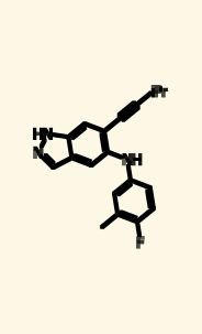 Cc1cc(Nc2cc3cn[nH]c3cc2C#CC(C)C)ccc1F